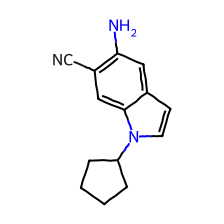 N#Cc1cc2c(ccn2C2CCCC2)cc1N